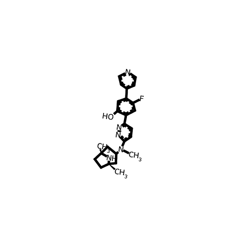 CN(c1ccc(-c2cc(F)c(-c3ccncc3)cc2O)nn1)C1C[C@]2(C)CC[C@](C)(C1)N2